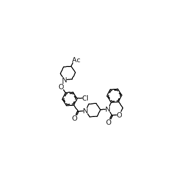 CC(=O)C1CCN(Oc2ccc(C(=O)N3CCC(N4C(=O)OCc5ccccc54)CC3)c(Cl)c2)CC1